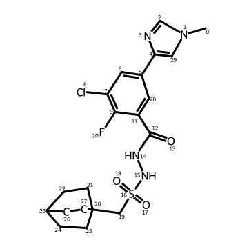 Cn1cnc(-c2cc(Cl)c(F)c(C(=O)NNS(=O)(=O)CC34CCC(CC3)CC4)c2)c1